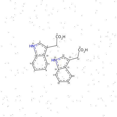 O=C(O)Cc1c[nH]c2ccccc12.O=C(O)Cc1c[nH]c2ccccc12